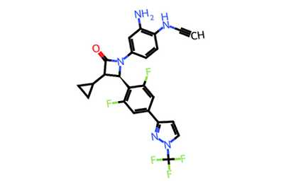 C#CNc1ccc(N2C(=O)C(C3CC3)[C@@H]2c2c(F)cc(-c3ccn(C(F)(F)F)n3)cc2F)cc1N